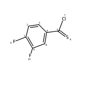 Fc1ccc(C(=S)Cl)cc1F